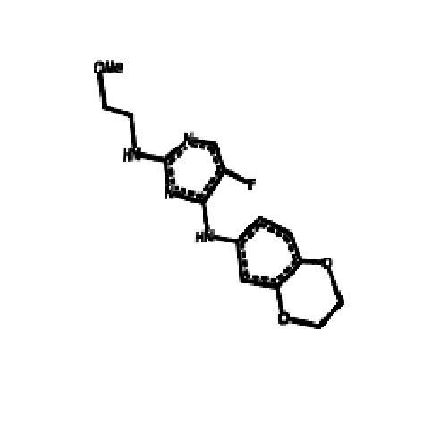 COCCNc1ncc(F)c(Nc2ccc3c(c2)OCCO3)n1